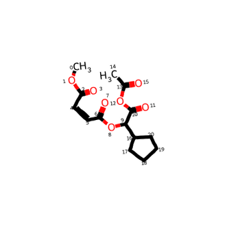 COC(=O)/C=C\C(=O)OC(C(=O)OC(C)=O)C1CCCC1